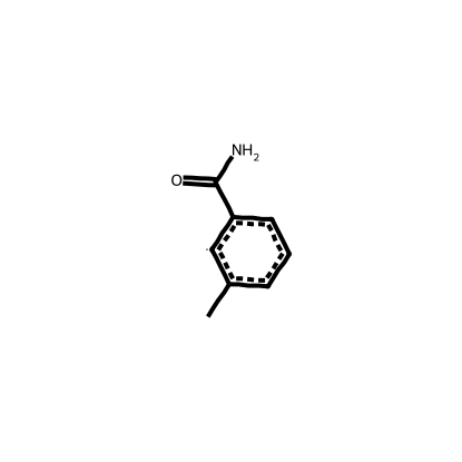 Cc1[c]c(C(N)=O)ccc1